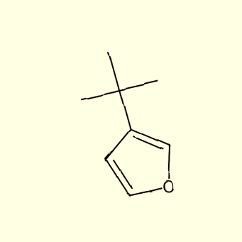 CC(C)(C)c1ccoc1